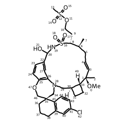 CO[C@]1(C)/C=C/C[C@H](C)[C@@H](CCOS(C)(=O)=O)S(=O)(=O)NC(O)c2ccc3c(c2)N(C[C@@H]2CC[C@H]21)C[C@@]1(CCCc2cc(Cl)ccc21)CO3